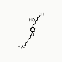 CCCCCCCOc1ccc(CCC(O)CCCO)cc1